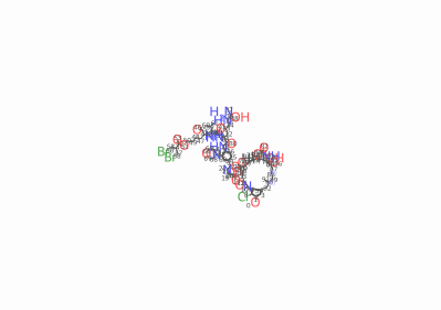 COc1cc2cc(c1Cl)N(C)C(=O)C[C@H](OC(=O)[C@H](C)N(C)C(=O)c1ccc(NC(=O)[C@H](CCCNC(N)O)NC(=O)[C@@H](NC(C=O)CCCCOC(=O)C(CBr)CBr)C(C)C)c(N3CCOCC3)c1)[C@]1(C)O[C@H]1[C@H](C)[C@@H]1C[C@@](O)(NC(=O)O1)[C@H](OC)/C=C/C=C(\C)C2